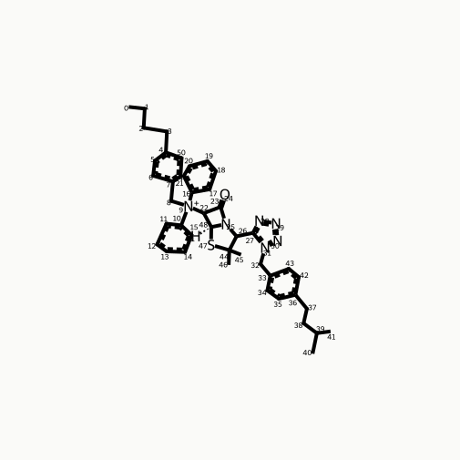 CCCCc1ccc(C[N+](c2ccccc2)(c2ccccc2)C2C(=O)N3C(c4nnnn4Cc4ccc(CCC(C)C)cc4)C(C)(C)S[C@@H]23)cc1